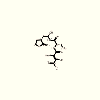 CN/C(C(=O)N[C@@H](CC(C)(C)C)C(=O)N[C@H](C#N)C[C@@H]1CCNC1=O)=C(/Cl)C(C)=N